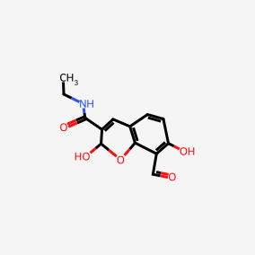 CCNC(=O)C1=Cc2ccc(O)c(C=O)c2OC1O